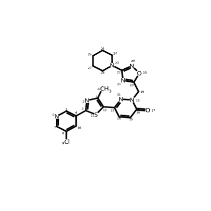 Cc1nc(-c2cncc(Cl)c2)sc1-c1ccc(=O)n(Cc2nc(N3CCCCC3)no2)n1